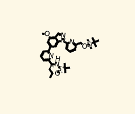 CCC[C@H](N[S+]([O-])C(C)(C)C)c1cccc(-c2cc(OC)c3cnn(-c4cccc(CO[Si](C)(C)C(C)(C)C)n4)c3c2)n1